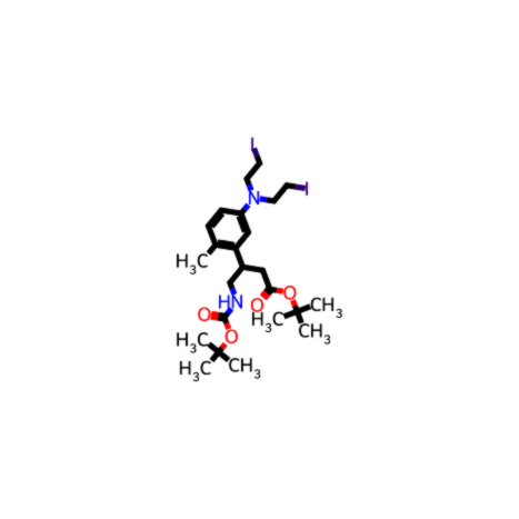 Cc1ccc(N(CCI)CCI)cc1C(CNC(=O)OC(C)(C)C)CC(=O)OC(C)(C)C